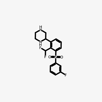 O=S(=O)(c1cccc(F)c1)c1cccc(C2CNCCN2)c1C(F)F